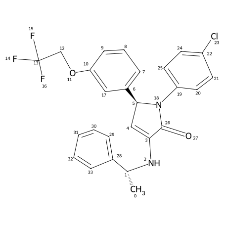 C[C@@H](NC1=C[C@@H](c2cccc(OCC(F)(F)F)c2)N(c2ccc(Cl)cc2)C1=O)c1ccccc1